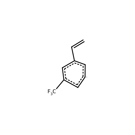 C=Cc1c[c]cc(C(F)(F)F)c1